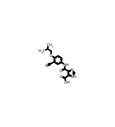 CC(C)COc1ccc(NC(=O)c2nc[nH]c2C(=O)O)cc1C#N